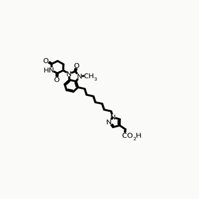 Cn1c(=O)n(C2CCC(=O)NC2=O)c2cccc(CCCCCCCn3cc(CC(=O)O)cn3)c21